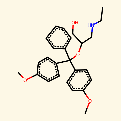 CCNCC(CO)OC(c1ccccc1)(c1ccc(OC)cc1)c1ccc(OC)cc1